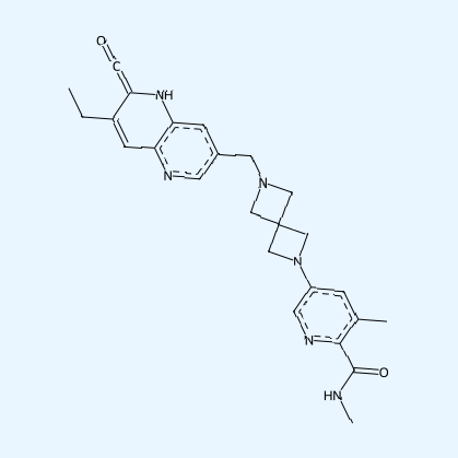 CCC1=Cc2ncc(CN3CC4(C3)CN(c3cnc(C(=O)NC)c(C)c3)C4)cc2NC1=C=O